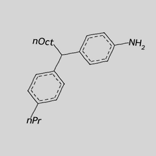 CCCCCCCCC(c1ccc(N)cc1)c1ccc(CCC)cc1